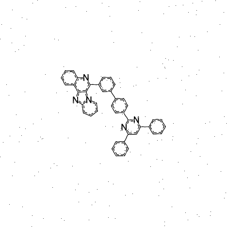 c1ccc(-c2cc(-c3ccccc3)nc(-c3ccc(-c4cccc(-c5nc6ccccc6c6nc7ccccn7c56)c4)cc3)n2)cc1